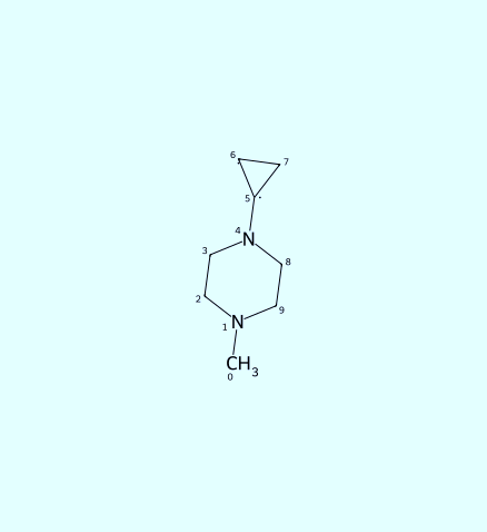 CN1CCN([C]2[CH]C2)CC1